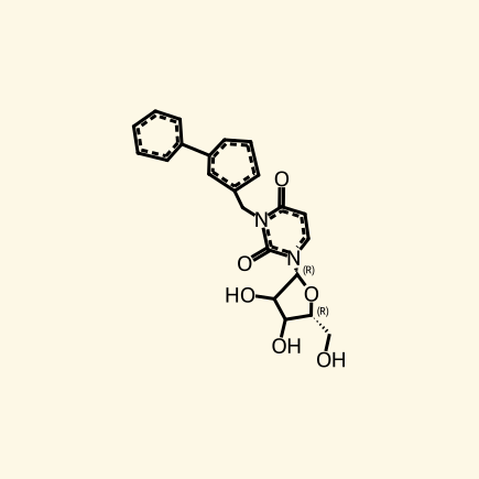 O=c1ccn([C@@H]2O[C@H](CO)C(O)C2O)c(=O)n1Cc1cccc(-c2ccccc2)c1